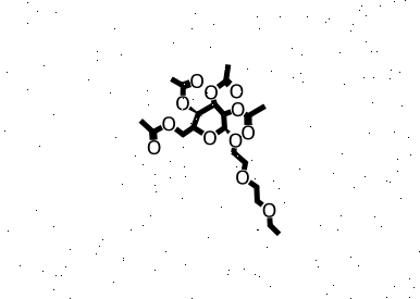 CCOCCOCCO[C@H]1OC(COC(C)=O)[C@@H](OC(C)=O)C(OC(C)=O)C1OC(C)=O